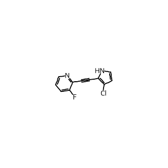 Fc1cccnc1C#Cc1[nH]ccc1Cl